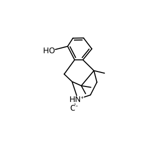 [CH2-][NH+]1CCC2(C)c3cccc(O)c3CC1C2(C)C